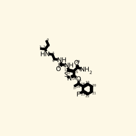 CCC(C)NCCNC(=O)Nc1snc(OC(C)c2ccccc2F)c1C(N)=O